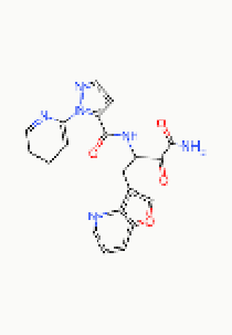 NC(=O)C(=O)C(Cc1coc2cccnc12)NC(=O)c1ccnn1C1=CCCC=N1